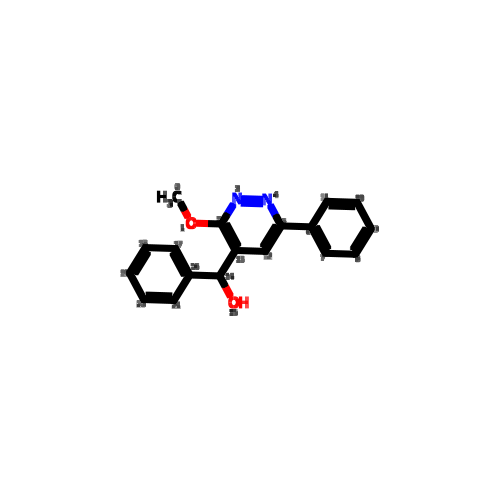 COc1nnc(-c2ccccc2)cc1C(O)c1ccccc1